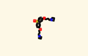 [O-][s+]1c2ccc(OCCCN3CCC3)cc2c2cc(OCCCN3CCC3)ccc21